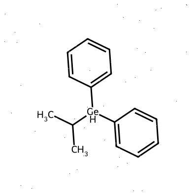 C[CH](C)[GeH]([c]1ccccc1)[c]1ccccc1